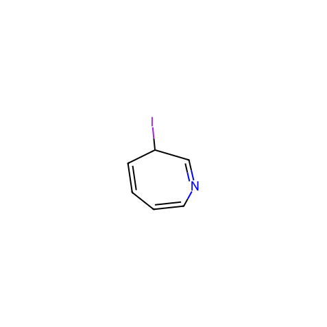 IC1C=CC=CN=C1